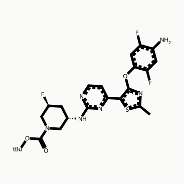 Cc1nc(Oc2cc(F)c(N)cc2F)c(-c2ccnc(N[C@H]3C[C@H](F)CN(C(=O)OC(C)(C)C)C3)n2)s1